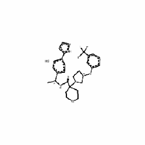 C[C@H](NC(=O)C1(N2CC[C@@H](Oc3cccc(C(F)(F)F)c3)C2)CCOCC1)c1ccc(-c2ccn[nH]2)cc1.Cl